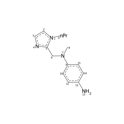 CCCn1ccnc1CN(C)c1ccc(N)cc1